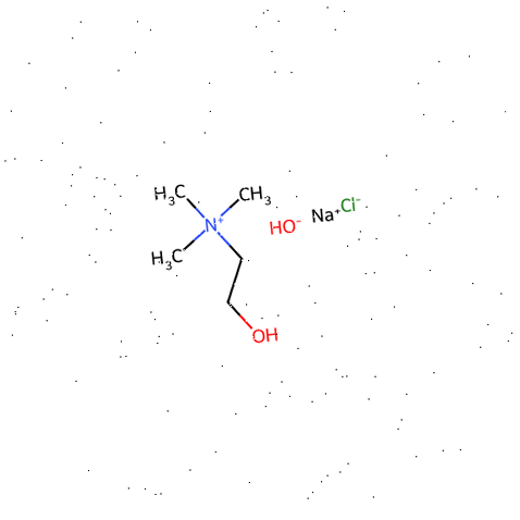 C[N+](C)(C)CCO.[Cl-].[Na+].[OH-]